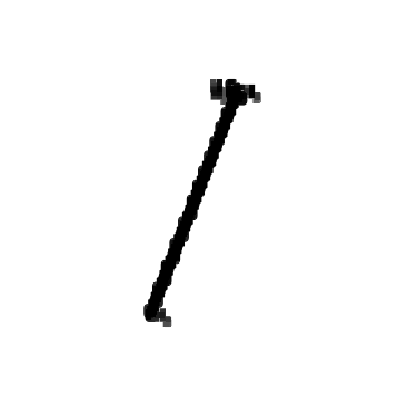 CCC(C)(C)C(=O)OCCCOCCCOCCCOCCCOCCCOCCCOCCCOCCOCCOCCOCCOCCOCCOCCOCCOCCOCCOC